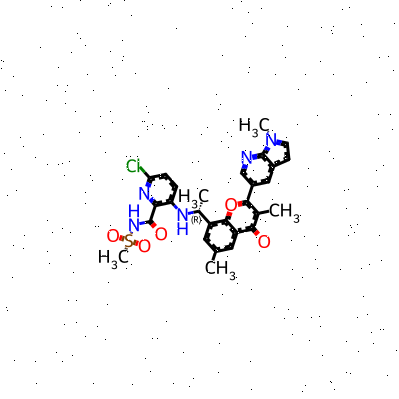 Cc1cc([C@@H](C)Nc2ccc(Cl)nc2C(=O)NS(C)(=O)=O)c2oc(-c3cnc4c(ccn4C)c3)c(C)c(=O)c2c1